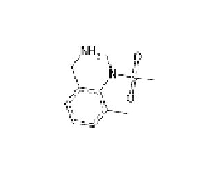 Cc1cccc(CN)c1N(C)S(C)(=O)=O